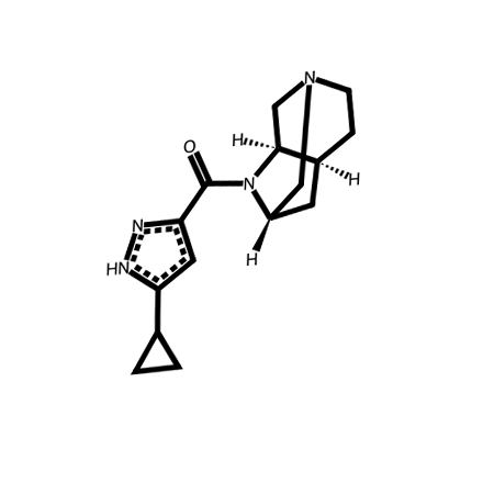 O=C(c1cc(C2CC2)[nH]n1)N1[C@H]2C[C@@H]3CCN(C2)C[C@@H]31